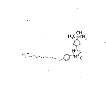 CCCCCCCCCCCCc1ccc(-c2nc(Cl)nc(-c3ccc([Si](C)(C)C)cc3)n2)cc1